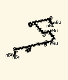 CCCCC(CCCC)CCOC(=O)CCCCCCCCCC(CCCCCCCCCC(=O)OCCC(CCCC)CCCCC(C)CCC(CCCC)CCOC(=O)CCCCCCCCCC(CCCCCCCCCC(=O)OCCC(CCCC)CCCC)CN1CCCC1)CN1CCCCC1